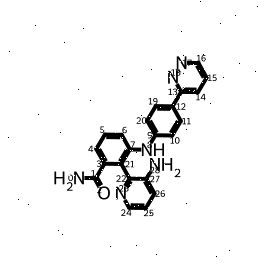 NC(=O)c1cccc(Nc2ccc(-c3cccnn3)cc2)c1-c1ncccc1N